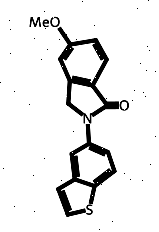 COc1ccc2c(c1)CN(c1ccc3sccc3c1)C2=O